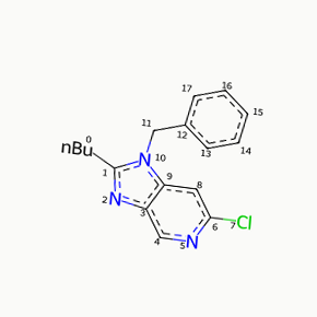 CCCCc1nc2cnc(Cl)cc2n1Cc1ccccc1